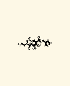 COCCN1CN(C)n2cc(C(=O)NCc3ccsc3)c(=O)c(O)c2C1=O